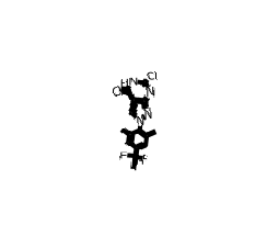 Cc1cc(C(C)(F)F)cc(C)c1-n1cc2c(=O)[nH]c(Cl)nc2n1